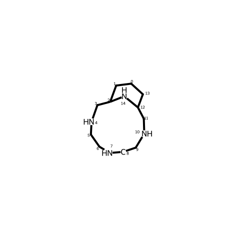 C1CC2CNCCNCCNCC(C1)N2